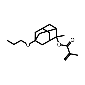 C=C(C)C(=O)OC1(C)C2CC3CC1CC(OCCC)(C3)C2